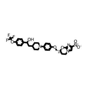 O=[N+]([O-])c1cn2c(n1)O[C@@H](COc1ccc(N3CCC(CC(O)c4ccc(OC(F)(F)F)cc4)CC3)cc1)CC2